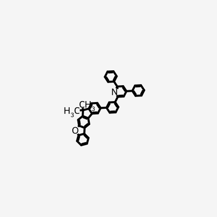 CC1(C)c2ccc(-c3cccc(-c4cc(-c5ccccc5)cc(-c5ccccc5)n4)c3)cc2-c2cc3c(cc21)oc1ccccc13